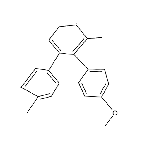 COc1ccc(C2=C(C)[CH]CC=C2c2ccc(C)cc2)cc1